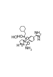 Cl.N=C(N)c1ccc(C[N+]2(C(=O)[C@H](O)CC3CCCCC3)CC[C@@H]3C[C@@]32C(N)=O)cc1